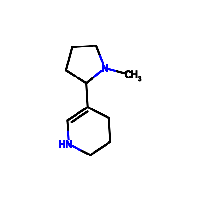 CN1CCCC1C1=CNCCC1